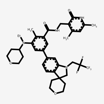 CCN(c1cc(-c2ccc3c(c2)N(CC(F)(F)C(F)(F)F)CC32CCOCC2)cc(C(=O)NCc2c(C)cc(C)[nH]c2=O)c1C)C1CCOCC1